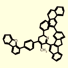 CC1=C(c2ccc(-c3cccc4c3oc3ccccc34)cc2)CC(c2ccccc2)N=C1c1cc2ccccc2c2c1-c1cc(-c3ccc4ccc5ccccc5c4c3)ccc1C2